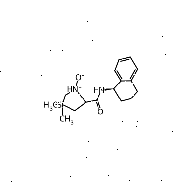 C[Si]1(C)CC(C(=O)N[C@@H]2CCCc3ccccc32)[NH+]([O-])C1